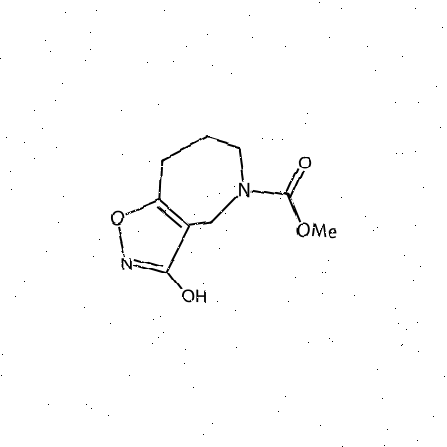 COC(=O)N1CCCc2onc(O)c2C1